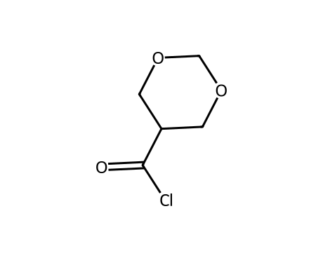 O=C(Cl)C1COCOC1